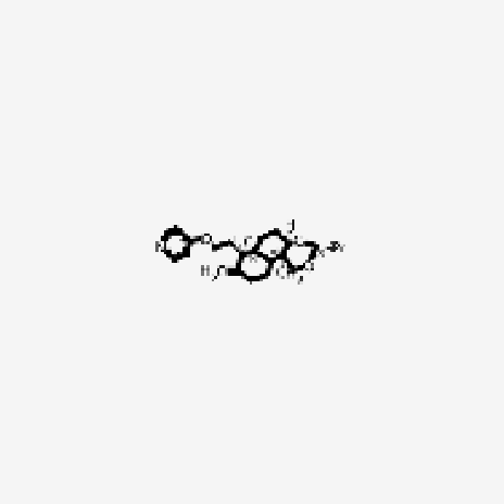 C=C1CCC2[C@]3(C)CO[C@@H](C(C)C)O[C@@H]3CC[C@@]2(C)[C@@H]1CCOc1ccncc1